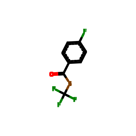 O=C(SC(F)(F)F)c1ccc(F)cc1